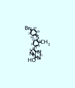 Cc1cc(-c2cnn3c(O)ncnc23)ccc1Sc1ccc(Br)cc1